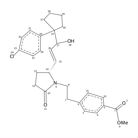 COC(=O)c1ccc(CCN2C(=O)CC[C@@H]2C=CC(O)C2(c3ccc(Cl)cc3)CCCC2)cc1